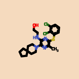 Cc1nc(N2CCC3(CCCC3)CC2)c(NCCO)nc1Sc1cccc(Cl)c1Cl